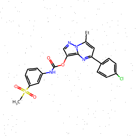 CCc1cc(-c2ccc(Cl)cc2)nc2c(OC(=O)Nc3cccc(S(C)(=O)=O)c3)cnn12